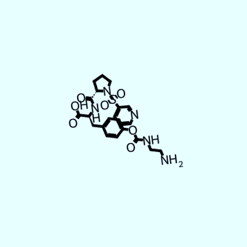 NCCNC(=O)Oc1ccc(C[C@H](NC(=O)[C@@H]2CCCN2S(=O)(=O)c2cccnc2)C(=O)O)cc1